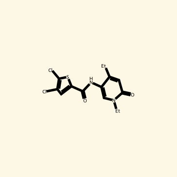 CCc1cc(=O)n(CC)cc1NC(=O)c1cc(Cl)c(Cl)s1